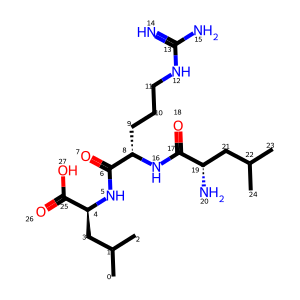 CC(C)C[C@H](NC(=O)[C@H](CCCNC(=N)N)NC(=O)[C@@H](N)CC(C)C)C(=O)O